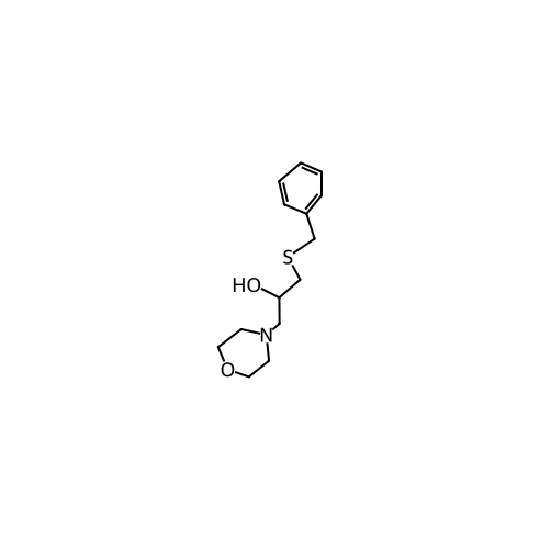 OC(CSCc1ccccc1)CN1CCOCC1